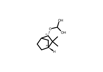 CC1(C)[C@@H]2CCC(C2)[C@@H]1OC(O)O